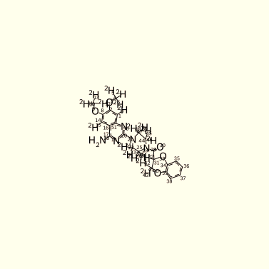 [2H]c1c(OC([2H])([2H])[2H])c(OC([2H])([2H])[2H])c([2H])c2c(N)nc(N3C([2H])([2H])C([2H])([2H])N(C(=O)C4([2H])Oc5ccccc5OC4([2H])[2H])C([2H])([2H])C3([2H])[2H])nc12